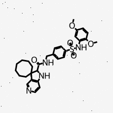 COc1ccc(OC)c(NS(=O)(=O)c2ccc(CNC(=O)C3Nc4ccncc4C34CCCCCCC4)cc2)c1